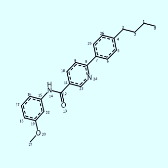 CCCCc1ccc(-c2ccc(C(=O)Nc3cccc(OC)c3)cn2)cc1